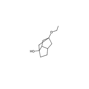 CCOC12CC3CCC(O)(C1)C3C2